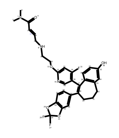 CN(C)C(=O)/C=C/CNCCOc1cc(F)c(C2=C(c3ccc4c(c3)OC(F)(F)O4)CCCc3cc(O)ccc32)cn1